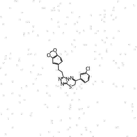 Clc1cccc(C2=Nn3c(CCc4ccc5c(c4)OCO5)nnc3SC2)c1